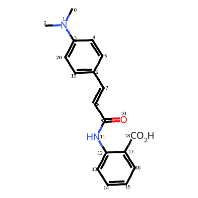 CN(C)c1ccc(/C=C/C(=O)Nc2ccccc2C(=O)O)cc1